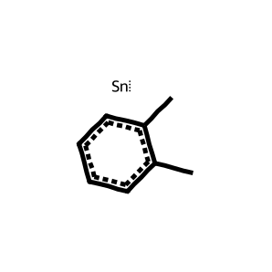 Cc1ccccc1C.[Sn]